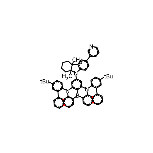 CC(C)(C)c1ccc(N2c3ccccc3B3c4ccccc4N(c4ccc(C(C)(C)C)cc4-c4ccccc4)c4cc(N5c6ccc(-c7cccnc7)cc6C6(C)CCCCC56C)cc2c43)c(-c2ccccc2)c1